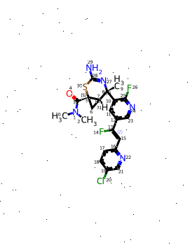 CN(C)C(=O)[C@]12C[C@H]1[C@@](C)(c1cc(/C(F)=C/c3ccc(Cl)cn3)cnc1F)N=C(N)S2